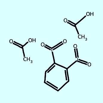 CC(=O)O.CC(=O)O.O=I(=O)c1ccccc1I(=O)=O